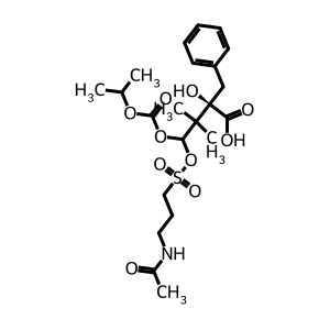 CC(=O)NCCCS(=O)(=O)OC(OC(=O)OC(C)C)C(C)(C)[C@](O)(Cc1ccccc1)C(=O)O